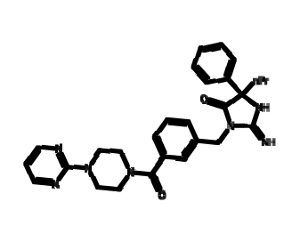 CCCC1(c2ccccc2)NC(=N)N(Cc2cccc(C(=O)N3CCN(c4ncccn4)CC3)c2)C1=O